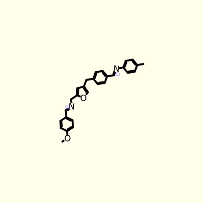 COc1ccc(/C=N/Cc2cc(Cc3ccc(/C=N/c4ccc(C)cc4)cc3)co2)cc1